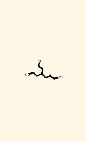 CCCCC(CCC)CC[O]